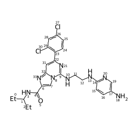 CCC(CC)NC(=O)c1cn2c(NCCNc3ccc(N)cn3)nc(-c3ccc(Cl)cc3Cl)cc2n1